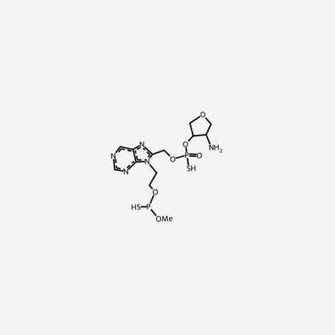 COP(S)OCCn1c(COP(=O)(S)OC2COCC2N)nc2cncnc21